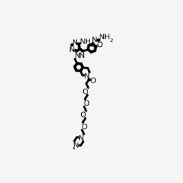 CN1CCN(CCOCCOCCOCCOCCC(=O)N2CCc3cc(Cn4nc(-c5ccc6oc(N)nc6c5)c5c(N)ncnc54)ccc3C2)CC1